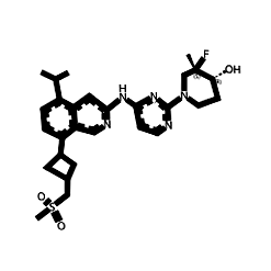 CC(C)c1ccc(C2CC(CS(C)(=O)=O)C2)c2cnc(Nc3ccnc(N4CC[C@@H](O)[C@@](C)(F)C4)n3)cc12